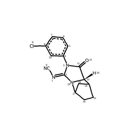 N#C/N=C1\N(c2cccc(Cl)c2)C(=O)[C@@H]2C3CCC(C3)N12